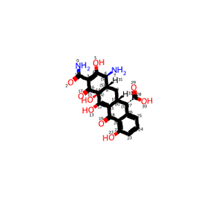 NC(=O)C1=C(O)[C@@H](N)[C@@H]2C[C@H]3C(=C(O)[C@]2(O)C1=O)C(=O)c1c(O)cccc1[C@H]3C(=O)O